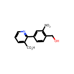 O=C(O)c1cccnc1-c1ccc(CO)c([N+](=O)[O-])c1